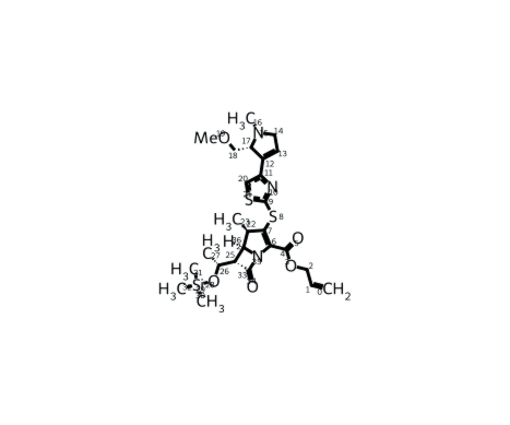 C=CCOC(=O)C1=C(Sc2nc(C3=CCN(C)[C@H]3COC)cs2)[C@H](C)[C@@H]2[C@@H]([C@@H](C)O[Si](C)(C)C)C(=O)N12